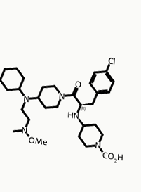 CON(C)CCN(C1CCCCC1)C1CCN(C(=O)[C@@H](Cc2ccc(Cl)cc2)NC2CCN(C(=O)O)CC2)CC1